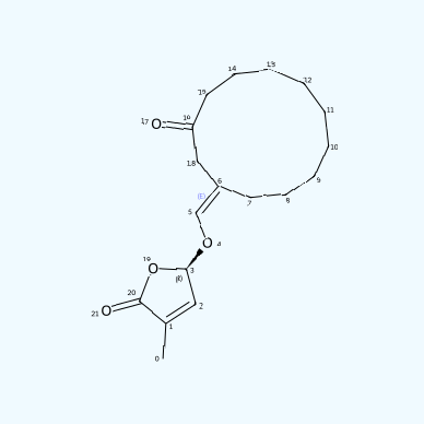 CC1=C[C@H](O/C=C2\CCCCCCCCCC(=O)C2)OC1=O